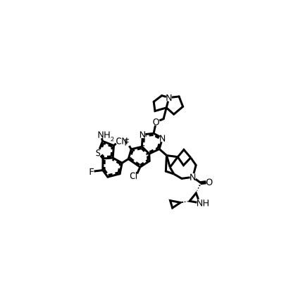 N#Cc1c(N)sc2c(F)ccc(-c3c(Cl)cc4c(C56CC7CN(C(=O)[C@@H]8N[C@@H]8C8CC8)CC8CC5(C8)C76)nc(OCC56CCCN5CCC6)nc4c3F)c12